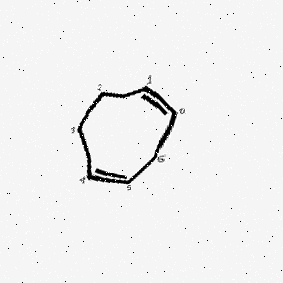 C1=CCCC=CC1